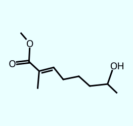 COC(=O)C(C)=CCCCC(C)O